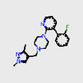 Cc1nn(C)cc1CN1CCN(c2ncccc2-c2ccccc2F)CC1